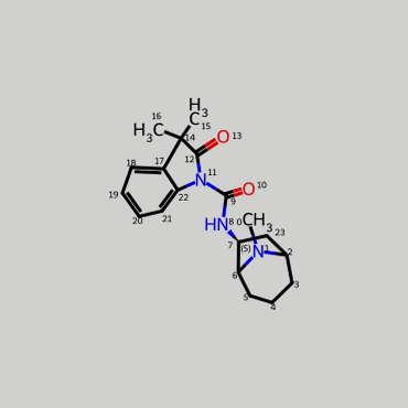 CN1C2CCCC1[C@@H](NC(=O)N1C(=O)C(C)(C)c3ccccc31)C2